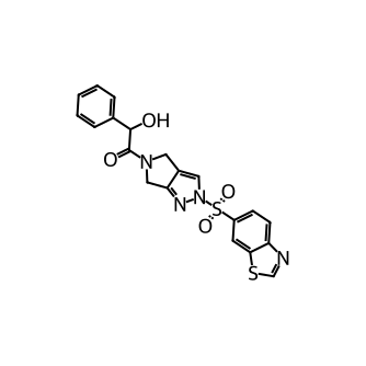 O=C(C(O)c1ccccc1)N1Cc2cn(S(=O)(=O)c3ccc4ncsc4c3)nc2C1